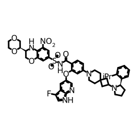 CC(C)c1ccccc1[C@H]1CCCN1C1CC2(CCN(c3ccc(C(=O)NS(=O)(=O)c4cc5c(c([N+](=O)[O-])c4)NC([C@@H]4COCCO4)CO5)c(Oc4cnc5[nH]cc(F)c5c4)c3)CC2)C1